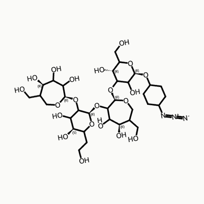 [N-]=[N+]=NC1CCC(O[C@@H]2OC(CO)[C@@H](O)C(O[C@H]3OCC(CO)[C@@H](O)C(O)C3O[C@H]3OC(CCO)[C@@H](O)C(O)C3O[C@H]3OCC(CO)[C@@H](O)C(O)C3O)C2O)CC1